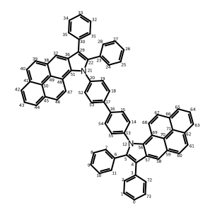 c1ccc(-c2c(-c3ccccc3)n(-c3ccc(-c4ccc(-n5c(-c6ccccc6)c(-c6ccccc6)c6cc7ccc8cccc9ccc(c7c89)c65)cc4)cc3)c3c2cc2ccc4cccc5ccc3c2c45)cc1